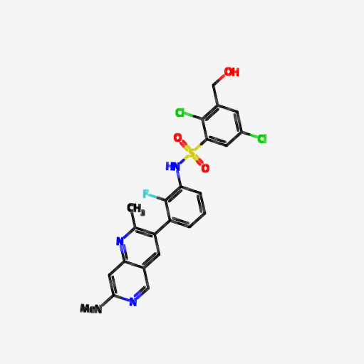 CNc1cc2nc(C)c(-c3cccc(NS(=O)(=O)c4cc(Cl)cc(CO)c4Cl)c3F)cc2cn1